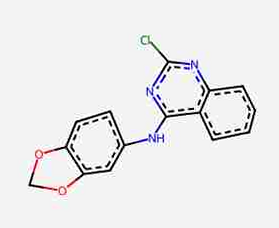 Clc1nc(Nc2ccc3c(c2)OCO3)c2ccccc2n1